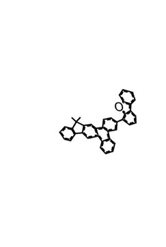 CC1(C)c2ccccc2-c2cc3c4ccccc4c4cc(-c5cccc6c5oc5ccccc56)ccc4c3cc21